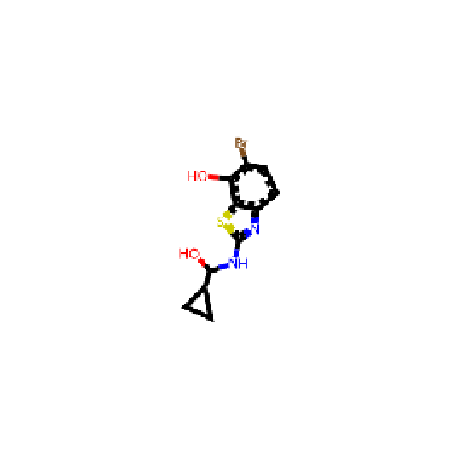 Oc1c(Br)ccc2nc(NC(O)C3CC3)sc12